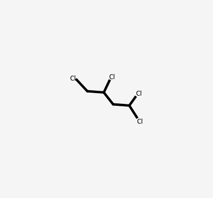 ClCC(Cl)CC(Cl)Cl